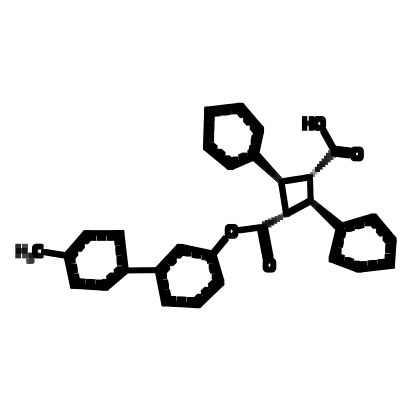 Cc1ccc(-c2cccc(OC(=O)[C@H]3[C@H](c4ccccc4)[C@@H](C(=O)O)[C@@H]3c3ccccc3)c2)cc1